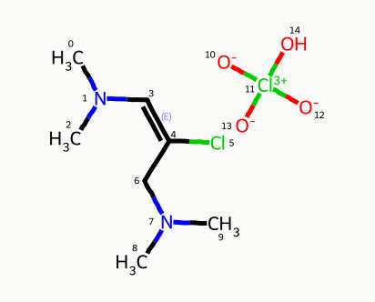 CN(C)/C=C(/Cl)CN(C)C.[O-][Cl+3]([O-])([O-])O